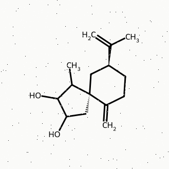 C=C(C)[C@H]1CCC(=C)[C@]2(CC(O)C(O)C2C)C1